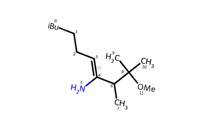 CCC(C)CC/C=C(\N)C(C)C(C)(C)OC